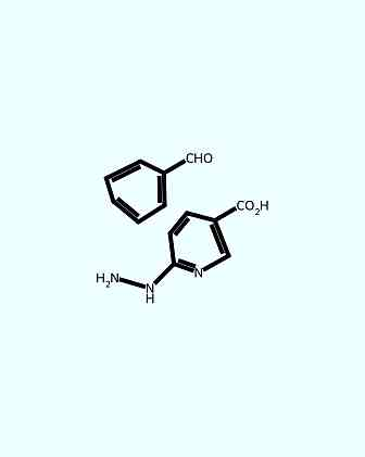 NNc1ccc(C(=O)O)cn1.O=Cc1ccccc1